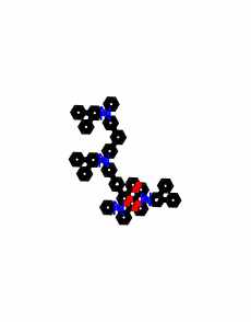 C1=C(c2ccc(N(c3ccc(-c4cccc(-c5ccc(N(c6ccccc6)c6ccc(-c7ccccc7)c(-c7ccccc7)c6)cc5)c4)cc3)c3ccc(-c4ccccc4)c(-c4ccccc4)c3)cc2)CCC(c2cc(N(c3ccccc3)c3ccccc3-c3ccc(-c4ccccc4N(c4ccccc4)C4C=C(c5ccccc5)C(c5ccccc5)=CC4)cc3)ccc2-c2ccccc2)=C1